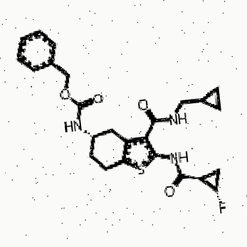 O=C(N[C@H]1CCc2sc(NC(=O)[C@H]3C[C@@H]3F)c(C(=O)NCC3CC3)c2C1)OCc1ccccc1